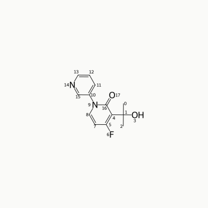 CC(C)(O)c1c(F)ccn(-c2cccnc2)c1=O